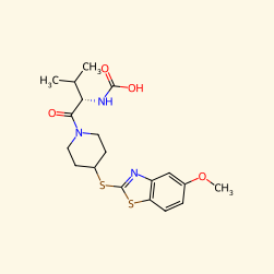 COc1ccc2sc(SC3CCN(C(=O)[C@@H](NC(=O)O)C(C)C)CC3)nc2c1